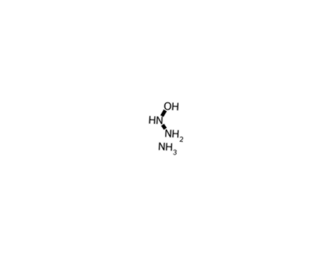 N.NNO